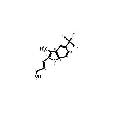 Cc1c(C=CCO)sc2ccc(C(F)(F)F)cc12